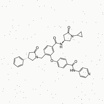 O=C(Nc1ccncc1)c1ccc(Oc2cc(C(=O)N[C@H]3CC(=O)N(C4CC4)C3)ccc2CN2C[C@H](c3ccccc3)CC2=O)cc1